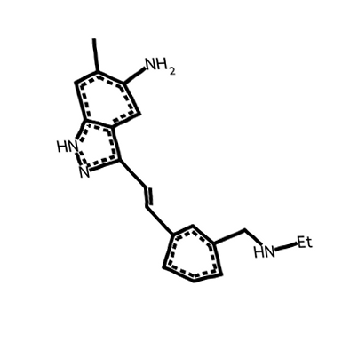 CCNCc1cccc(/C=C/c2n[nH]c3cc(C)c(N)cc23)c1